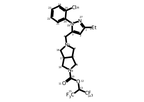 CCc1cc(CN2CC3CN(C(=O)OC(C(F)(F)F)C(F)(F)F)CC3C2)n(-c2ccccc2Cl)n1